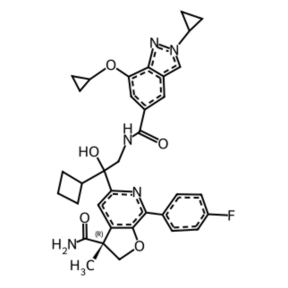 C[C@]1(C(N)=O)COc2c1cc(C(O)(CNC(=O)c1cc(OC3CC3)c3nn(C4CC4)cc3c1)C1CCC1)nc2-c1ccc(F)cc1